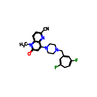 Cn1c(=O)cc(N2CCN(CC3=CC(F)=CCC(F)=C3)CC2)c2nc(C#N)ccc21